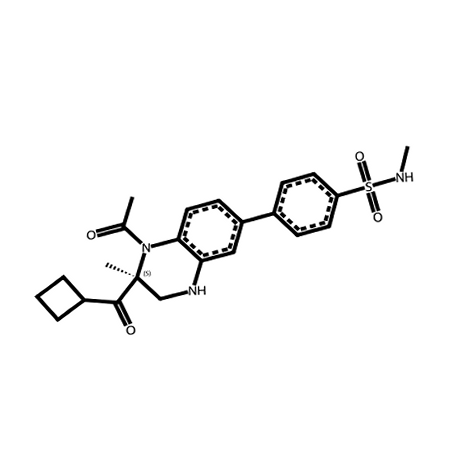 CNS(=O)(=O)c1ccc(-c2ccc3c(c2)NC[C@@](C)(C(=O)C2CCC2)N3C(C)=O)cc1